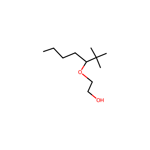 CCCCC(OCCO)C(C)(C)C